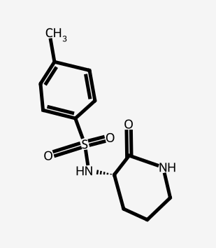 Cc1ccc(S(=O)(=O)N[C@H]2CCCNC2=O)cc1